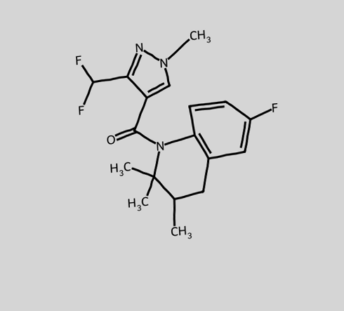 CC1Cc2cc(F)ccc2N(C(=O)c2cn(C)nc2C(F)F)C1(C)C